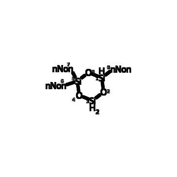 CCCCCCCCC[SiH]1O[SiH2]O[Si](CCCCCCCCC)(CCCCCCCCC)O1